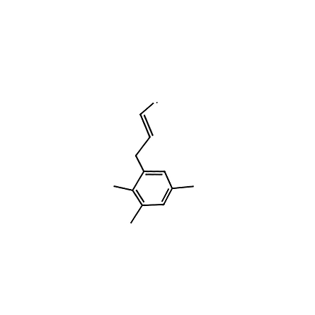 [CH2]C=CCc1cc(C)cc(C)c1C